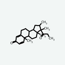 CCC(=O)C1(C)C(C)CC2C3CCC4=CC(=O)C=CC4(C)C3CCC21C